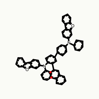 c1ccc(N(c2ccc(-c3ccc(N(c4ccccc4)c4ccc5c(c4)oc4ccccc45)c(-c4ccc5ccccc5c4)c3)cc2)c2ccc3c(c2)oc2ccccc23)cc1